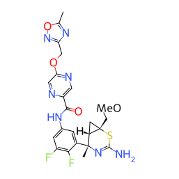 COC[C@]12C[C@H]1[C@@](C)(c1cc(NC(=O)c3cnc(OCc4noc(C)n4)cn3)cc(F)c1F)N=C(N)S2